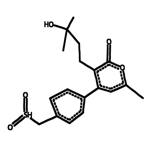 Cc1cc(-c2ccc(C[SH](=O)=O)cc2)c(CCC(C)(C)O)c(=O)o1